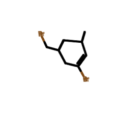 CC1C=C(Br)CC(CBr)C1